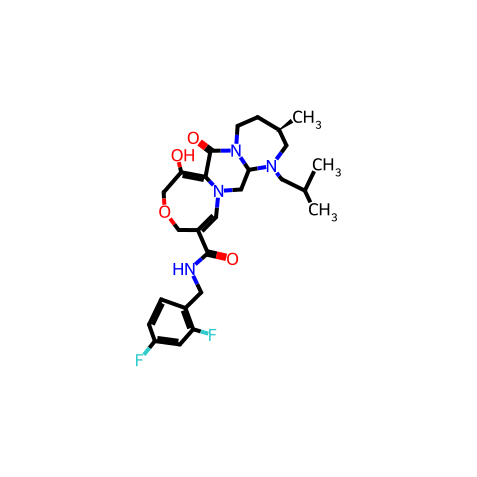 CC(C)CN1C[C@H](C)CCN2C(=O)/C3=C(\O)COC/C(C(=O)NCc4ccc(F)cc4F)=C\N3CC12